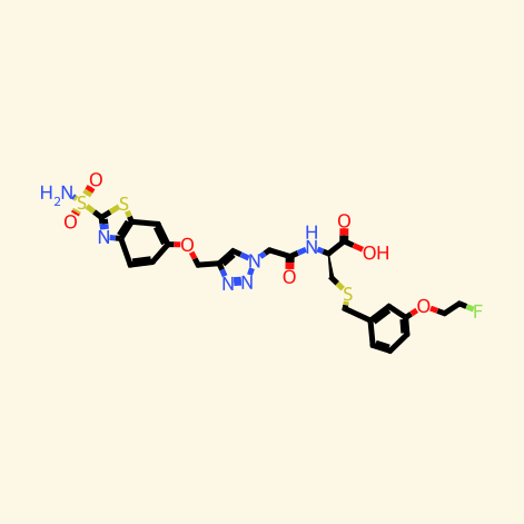 NS(=O)(=O)c1nc2ccc(OCc3cn(CC(=O)N[C@H](CSCc4cccc(OCCF)c4)C(=O)O)nn3)cc2s1